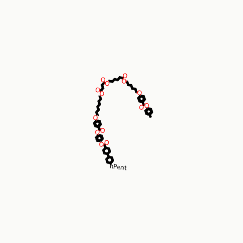 CCCCCC1CCC(C2CCC(C(=O)Oc3ccc(OC(=O)c4ccc(OCCCCCCCCOC(=O)CCC(=O)OCCCCCC(=O)OCCCCCCOc5ccc(C(=O)Oc6ccc(C)cc6)cc5)cc4)cc3)CC2)CC1